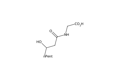 CCCCCC(O)CC(=O)NCC(=O)O